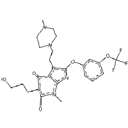 CN1CCN(CCn2c(Oc3cccc(OC(F)(F)F)c3)nc3c2c(=O)n(CCCO)c(=O)n3C)CC1